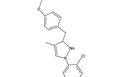 COc1ccc(CC2NN(c3ccccc3Cl)C=C2C)cc1